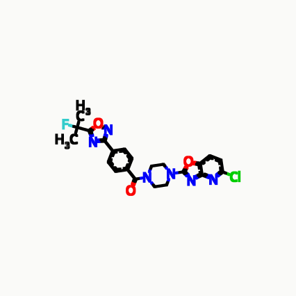 CC(C)(F)c1nc(-c2ccc(C(=O)N3CCN(c4nc5nc(Cl)ccc5o4)CC3)cc2)no1